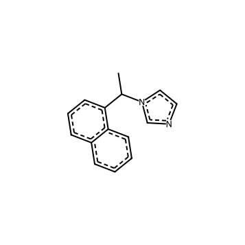 CC(c1cccc2ccccc12)n1ccnc1